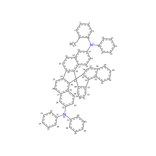 Cc1ccccc1N(c1ccccc1)c1ccc2c3c(ccc2c1)-c1ccc2cc(N(c4ccccc4)c4ccccc4)ccc2c1C31c2ccccc2-c2c1ccc1ccccc21